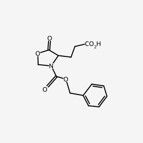 O=C(O)CCC1C(=O)OCN1C(=O)OCc1ccccc1